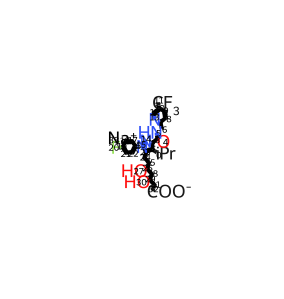 CC(C)c1c(C(=O)NCc2ccc(C(F)(F)F)cn2)nn(-c2ccc(F)cc2)c1CC[C@@H](O)C[C@@H](O)CC(=O)[O-].[Na+]